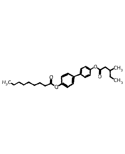 CCCCCCCCC(=O)Oc1ccc(-c2ccc(OC(=O)CC(C)CC)cc2)cc1